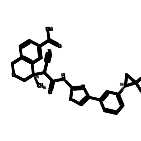 C[C@]1(C(C#N)C(=O)Nc2nc(-c3cccc([C@@H]4CC4(F)F)c3)cs2)COCc2ccc(C(=O)O)cc21